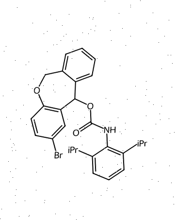 CC(C)c1cccc(C(C)C)c1NC(=O)OC1c2ccccc2COc2ccc(Br)cc21